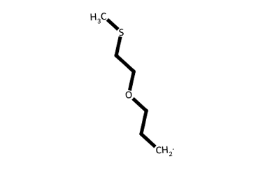 [CH2]CCOCCSC